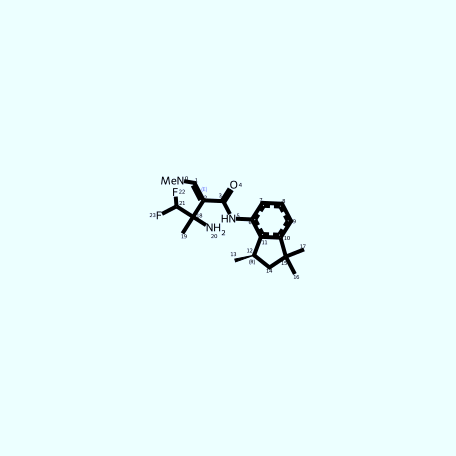 CN/C=C(/C(=O)Nc1cccc2c1[C@H](C)CC2(C)C)C(C)(N)C(F)F